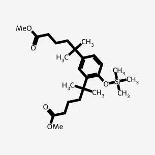 COC(=O)CCCC(C)(C)c1ccc(O[Si](C)(C)C)c(C(C)(C)CCCC(=O)OC)c1